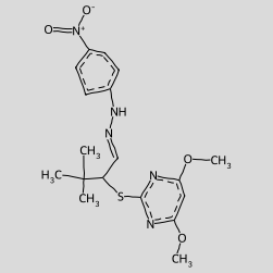 COc1cc(OC)nc(SC(C=NNc2ccc([N+](=O)[O-])cc2)C(C)(C)C)n1